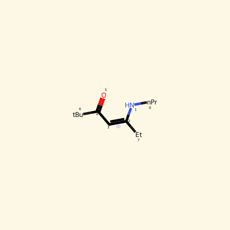 CCCN/C(=C\C(=O)C(C)(C)C)CC